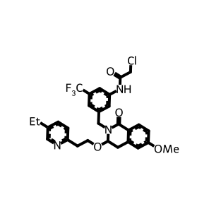 CCc1ccc(CCOC2Cc3cc(OC)ccc3C(=O)N2Cc2cc(NC(=O)CCl)cc(C(F)(F)F)c2)nc1